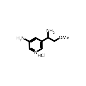 COCC(N)c1cncc(N)c1.Cl